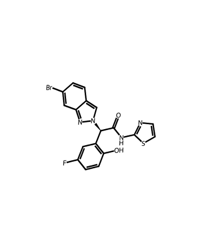 O=C(Nc1nccs1)[C@@H](c1cc(F)ccc1O)n1cc2ccc(Br)cc2n1